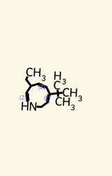 CCC1/C=C\NC/C=C(C(C)(C)C)\C=C/1